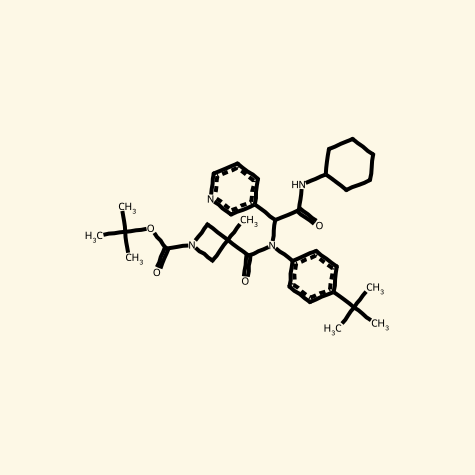 CC(C)(C)OC(=O)N1CC(C)(C(=O)N(c2ccc(C(C)(C)C)cc2)C(C(=O)NC2CCCCC2)c2cccnc2)C1